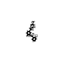 COc1cnc2nc(-c3ccc(C)c(NC(=O)c4ccccc4Cl)c3)cn2c1